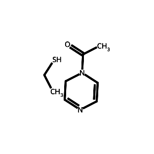 CC(=O)N1C=CN=CC1.CCS